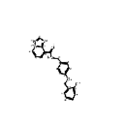 O=C(NCc1ccc(OCc2ccccc2F)cc1)c1cccn2ncnc12